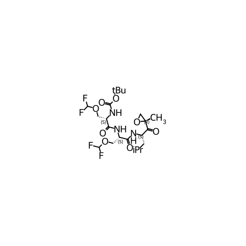 CC(C)C[C@H](NC(=O)[C@H](COC(F)F)NC(=O)[C@H](COC(F)F)NC(=O)OC(C)(C)C)C(=O)[C@@]1(C)CO1